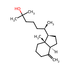 C=C1CCC[C@]2(C)[C@@H]([C@H](C)CCCC(C)(C)O)CC[C@@H]12